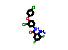 Nc1c(F)cc(F)cc1C(=O)Nc1ccc(Oc2ccc(Cl)cc2)c(Cl)c1